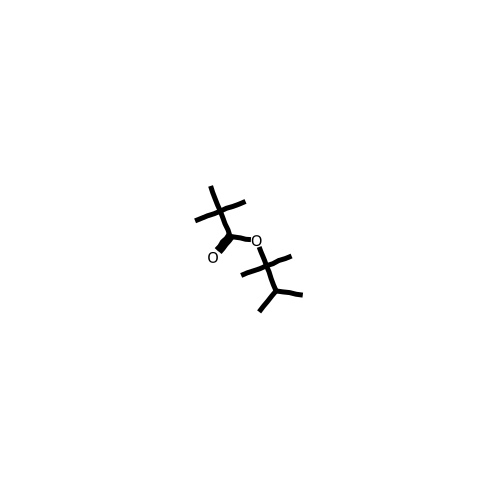 CC(C)C(C)(C)OC(=O)C(C)(C)C